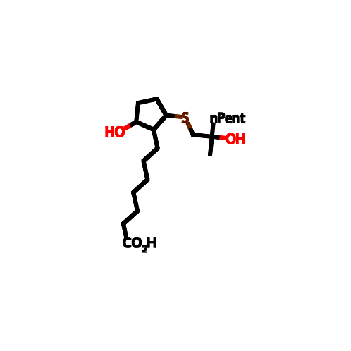 CCCCCC(C)(O)CSC1CCC(O)C1CCCCCCC(=O)O